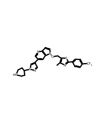 Cc1nc(-c2ccc(C(F)(F)F)cc2)sc1COn1ccc2ncc(-c3cnn(C4CCNCC4)c3)cc21